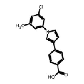 Cc1cc(Cl)cc(-n2ccc(-c3ccc(C(=O)O)cc3)c2)c1